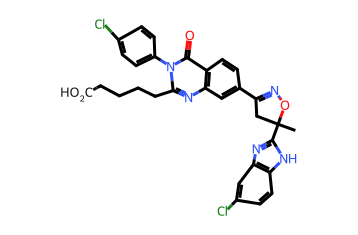 CC1(c2nc3cc(Cl)ccc3[nH]2)CC(c2ccc3c(=O)n(-c4ccc(Cl)cc4)c(CCCCC(=O)O)nc3c2)=NO1